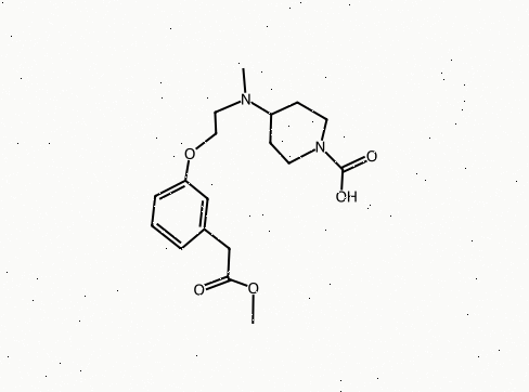 COC(=O)Cc1cccc(OCCN(C)C2CCN(C(=O)O)CC2)c1